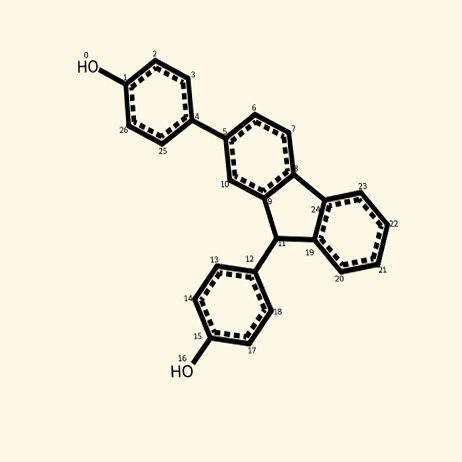 Oc1ccc(-c2ccc3c(c2)C(c2ccc(O)cc2)c2ccccc2-3)cc1